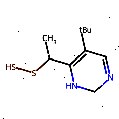 CC(SS)C1=C(C(C)(C)C)C=NCN1